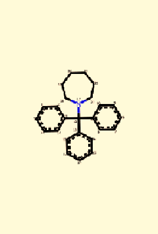 c1ccc(C(c2ccccc2)(c2ccccc2)N2CCCCCC2)cc1